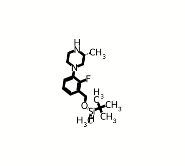 C[C@@H]1CN(c2cccc(CO[SiH](C)C(C)(C)C)c2F)CCN1